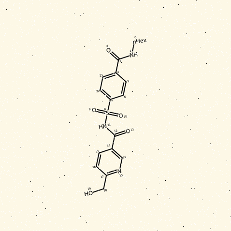 CCCCCCNC(=O)c1ccc(S(=O)(=O)NC(=O)c2ccc(CO)nc2)cc1